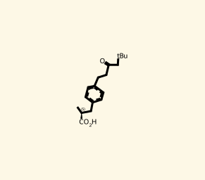 C[C@@H](Cc1ccc(CCC(=O)CC(C)(C)C)cc1)C(=O)O